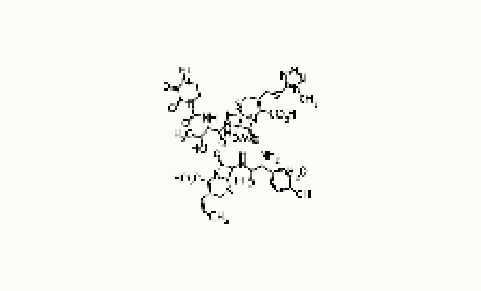 C/C=C\C1=C(C(=O)O)N2C(=O)[C@@H](NC(=O)[C@H](N)c3ccc(O)cc3)[C@H]2SC1.CCN1CCN(C(=O)N[C@@H](C(=O)N[C@]2(OC)C(=O)N3C(C(=O)O)=C(CSc4nnnn4C)CS[C@@H]32)[C@H](C)O)C(=O)C1=O.O